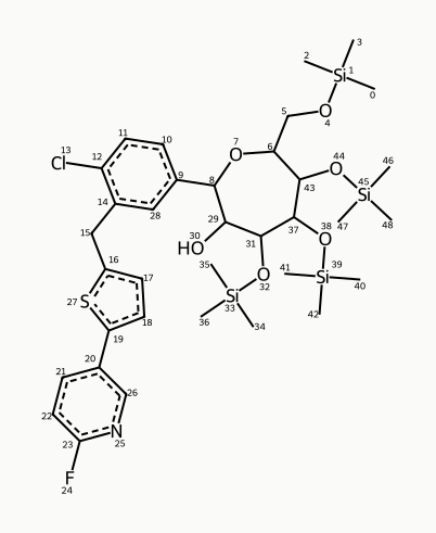 C[Si](C)(C)OCC1OC(c2ccc(Cl)c(Cc3ccc(-c4ccc(F)nc4)s3)c2)C(O)C(O[Si](C)(C)C)C(O[Si](C)(C)C)C1O[Si](C)(C)C